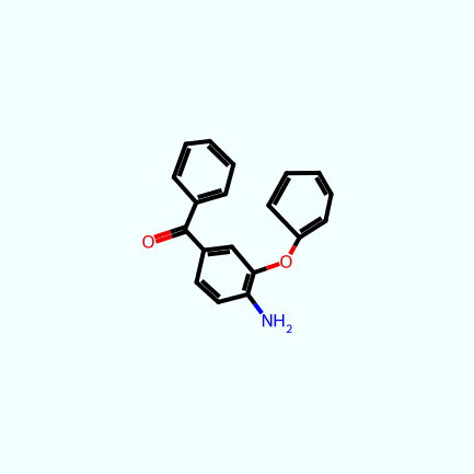 Nc1ccc(C(=O)c2ccccc2)cc1Oc1ccccc1